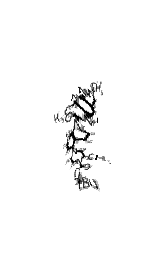 Cc1nc2nn(C)cc2cc1NC(=O)N1CCc2c(N3CCN(C(=O)OC(C)(C)C)[C@@H](C)C3)ccnc21